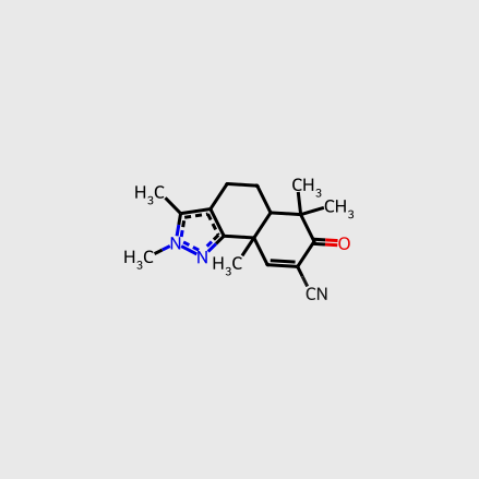 Cc1c2c(nn1C)C1(C)C=C(C#N)C(=O)C(C)(C)C1CC2